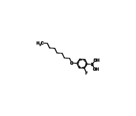 CCCCCCCCOc1ccc(B(O)O)c(F)c1